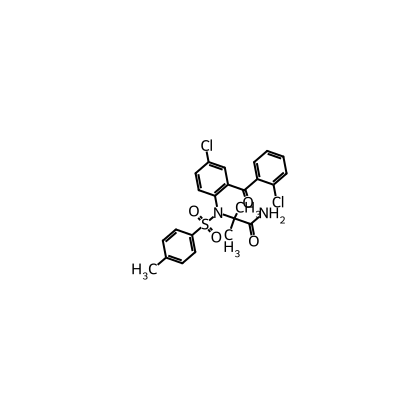 Cc1ccc(S(=O)(=O)N(c2ccc(Cl)cc2C(=O)c2ccccc2Cl)C(C)(C)C(N)=O)cc1